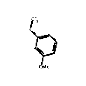 COc1[c]c(SC(F)(F)F)ccc1